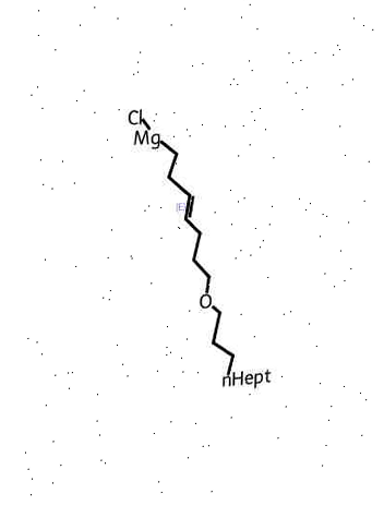 CCCCCCCCCCOCCC/C=C/C[CH2][Mg][Cl]